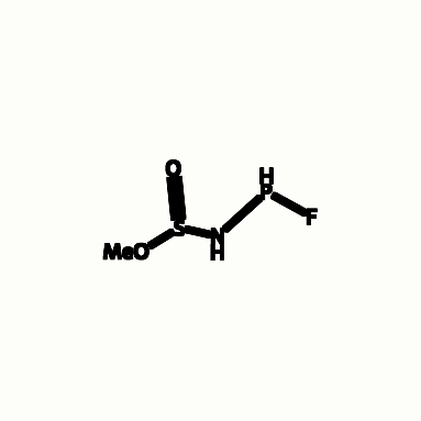 COS(=O)NPF